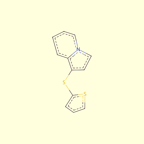 c1csc(Sc2ccn3ccccc23)c1